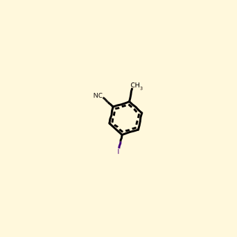 Cc1ccc(I)cc1C#N